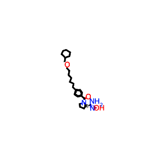 N/C(=N\O)[C@@H]1CCCN1C(=O)c1ccc(CCCCCCCOCC2CCCCC2)cc1